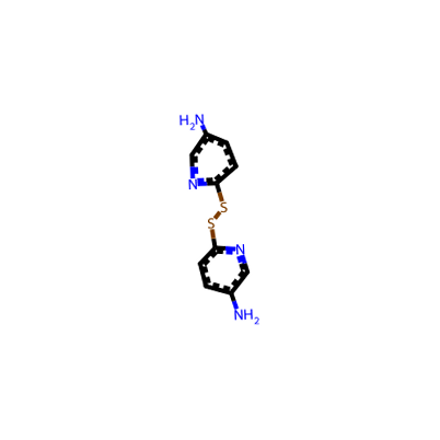 Nc1ccc(SSc2ccc(N)cn2)nc1